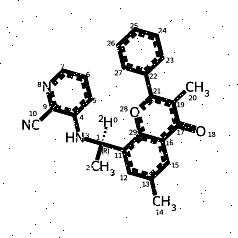 [2H][C@](C)(Nc1cccnc1C#N)c1cc(C)cc2c(=O)c(C)c(-c3ccccc3)oc12